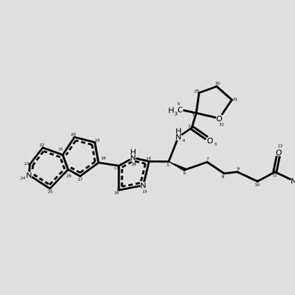 CC1(C(=O)N[C@@H](CCCCCC(N)=O)c2ncc(-c3ccc4ccncc4c3)[nH]2)CCCO1